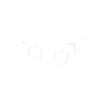 FC(F)(F)c1ccc(Oc2ccc3[nH]c(CCl)cc3c2)cc1